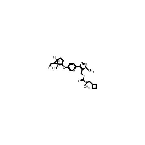 CN(CC1CCC1)C(=O)OCc1c(-c2ccc(OC3CC[C@H]4C(CC(=O)O)[C@@H]34)cn2)nnn1C